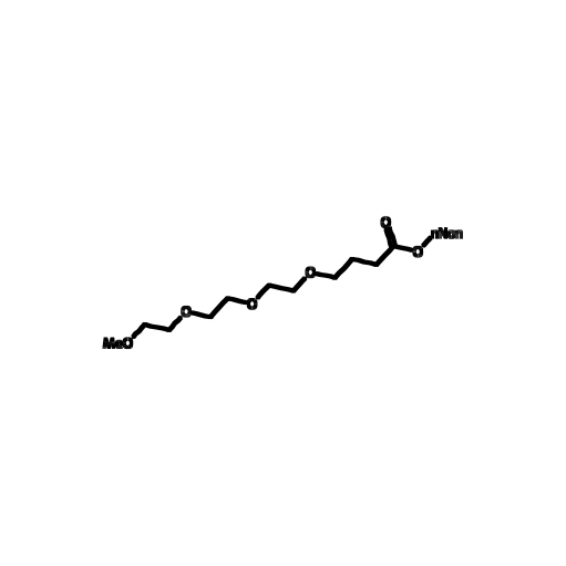 CCCCCCCCCOC(=O)CCCOCCOCCOCCOC